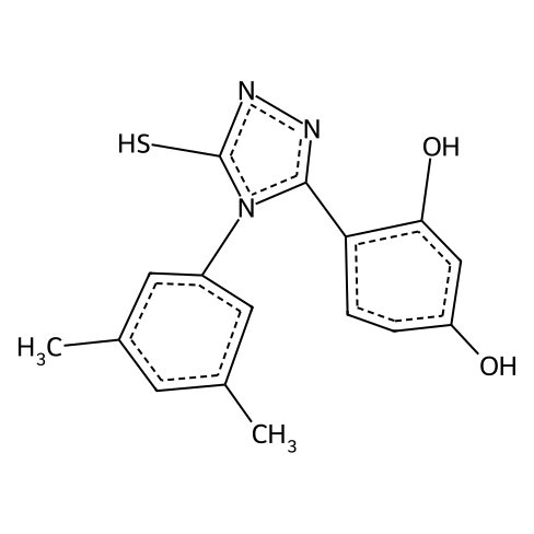 Cc1cc(C)cc(-n2c(S)nnc2-c2ccc(O)cc2O)c1